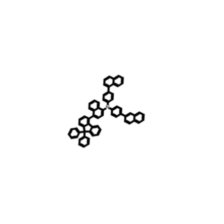 c1ccc(C2(c3ccccc3)c3ccccc3-c3c(-c4ccc(N(c5ccc(-c6ccc7ccccc7c6)cc5)c5ccc(-c6cccc7ccccc67)cc5)c5ccccc45)cccc32)cc1